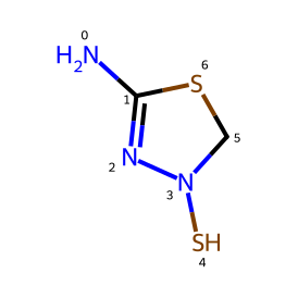 NC1=NN(S)CS1